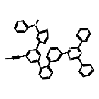 CC#Cc1cc(-c2cccc(N(C)c3ccccc3)c2)cc(-c2ccccc2-c2cccc(-c3nc(-c4ccccc4)nc(-c4ccccc4)n3)c2)c1